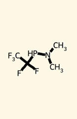 CN(C)PC(F)(F)C(F)(F)F